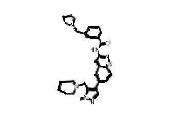 Cn1ncc(-c2ccc3nnc(NC(=O)c4cccc(CN5CCCC5)c4)cc3c2)c1CN1CCCCC1